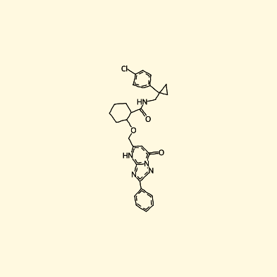 O=C(NCC1(c2ccc(Cl)cc2)CC1)C1CCCCC1OCc1cc(=O)n2nc(-c3ccccc3)nc2[nH]1